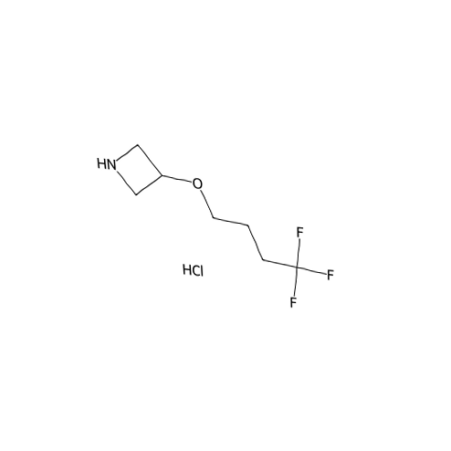 Cl.FC(F)(F)CCCOC1CNC1